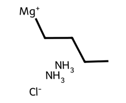 CCC[CH2][Mg+].N.N.[Cl-]